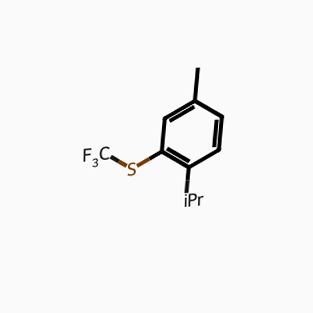 Cc1ccc(C(C)C)c(SC(F)(F)F)c1